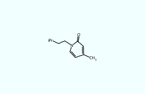 Cc1ccn(CCC(C)C)c(=O)c1